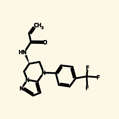 C=CC(=O)N[C@@H]1CN(c2ccc(C(F)(F)F)cc2)c2ccnn2C1